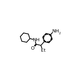 CCC(C(=O)NC1CCCCC1)c1ccc(N)cc1